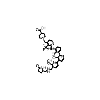 COc1nc(-c2ccnc(-c3cccc(Nc4nccc(CN5CCC(C(=O)O)CC5)c4C(F)(F)F)c3Cl)c2Cl)ccc1CNCC1CCC(=O)N1